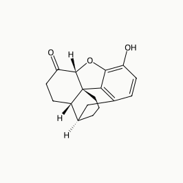 O=C1CC[C@H]2[C@@H]3CCC[C@@]24c2c(ccc(O)c2O[C@@H]14)C3